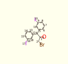 O=C(CBr)C(c1cccc(I)c1)c1cccc(I)c1